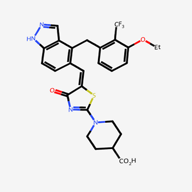 CCOc1cccc(Cc2c(C=C3SC(N4CCC(C(=O)O)CC4)=NC3=O)ccc3[nH]ncc23)c1C(F)(F)F